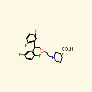 O=C(O)[C@@H]1CCCN(CCOCC(c2cc(F)ccc2F)c2cc(F)ccc2F)C1